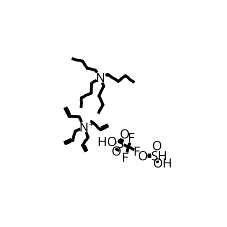 C=CC[N+](CC=C)(CC=C)CC=C.CCCC[N+](CCCC)(CCCC)CCCC.O=S(=O)(O)C(F)(F)F.O=[SH](=O)O